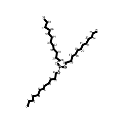 CCCCCCCCCCCCSP(SCCCCCCCCCCCC)SCCCCCCCCCCCC